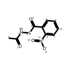 CC(=O)NSC(=O)c1ccccc1[N+](=O)[O-]